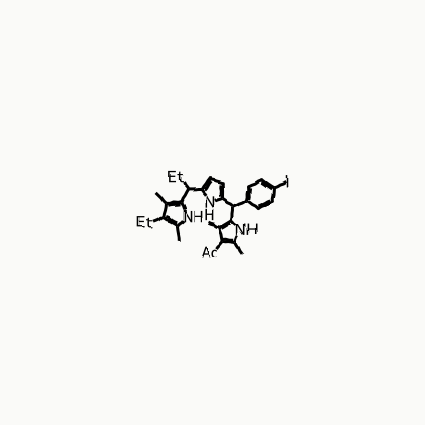 CCc1c(C)[nH]c(C(CC)c2ccc(C(c3ccc(I)cc3)c3[nH]c(C)c(C(C)=O)c3C)[nH]2)c1C